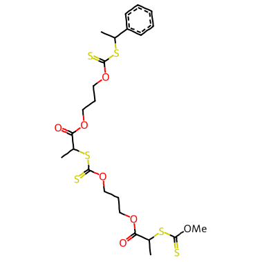 COC(=S)SC(C)C(=O)OCCCOC(=S)SC(C)C(=O)OCCCOC(=S)SC(C)c1ccccc1